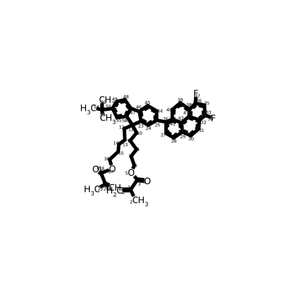 C=C(C)C(=O)OCCCCCC1(CCCCCOC(=O)C(=C)C)c2cc(-c3ccc4ccc5c(F)cc(F)c6ccc3c4c56)ccc2-c2ccc(C(C)(C)C)cc21